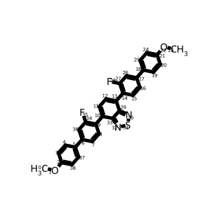 COc1ccc(-c2ccc(-c3ccc(-c4ccc(-c5ccc(OC)cc5)cc4F)c4nsnc34)c(F)c2)cc1